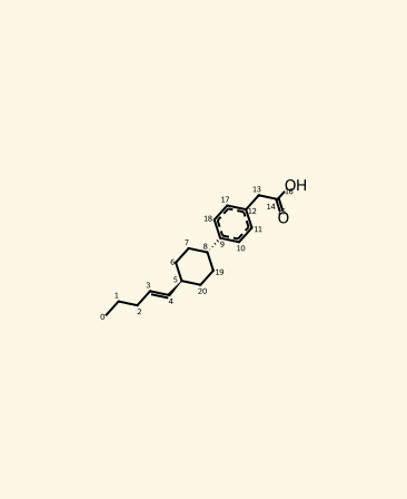 CCCC=C[C@H]1CC[C@H](c2ccc(CC(=O)O)cc2)CC1